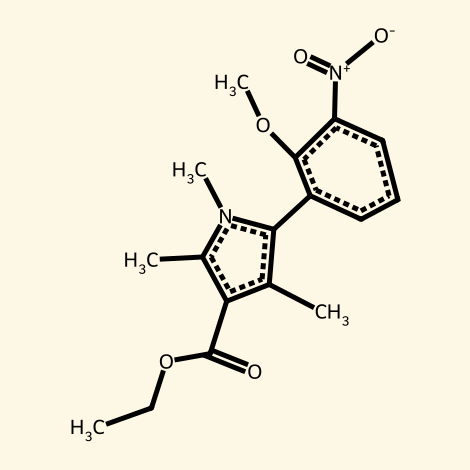 CCOC(=O)c1c(C)c(-c2cccc([N+](=O)[O-])c2OC)n(C)c1C